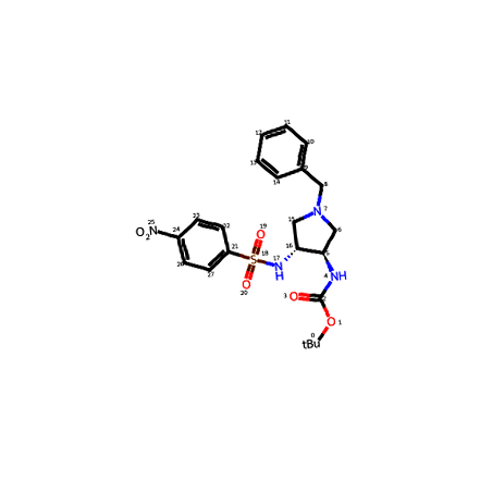 CC(C)(C)OC(=O)N[C@@H]1CN(Cc2ccccc2)C[C@H]1NS(=O)(=O)c1ccc([N+](=O)[O-])cc1